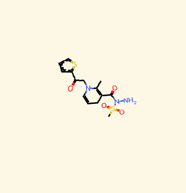 CC1=C(C(=O)N(N)S(C)(=O)=O)CC=CN1CC(=O)c1cccs1